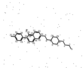 CCCCC1CCC(CCc2ccc3c(F)c(-c4ccc(C)cc4)ccc3c2)CC1